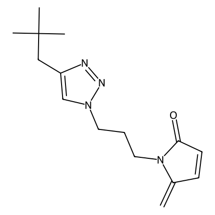 C=C1C=CC(=O)N1CCCn1cc(CC(C)(C)C)nn1